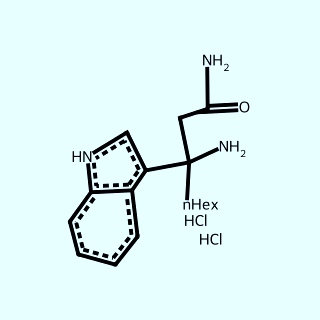 CCCCCCC(N)(CC(N)=O)c1c[nH]c2ccccc12.Cl.Cl